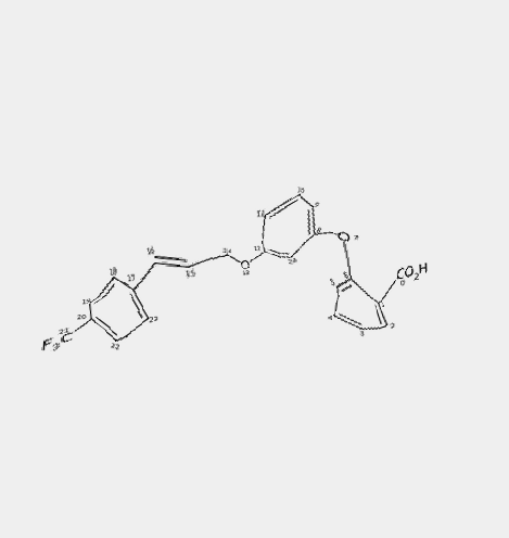 O=C(O)c1ccccc1Oc1cccc(OCC=Cc2ccc(C(F)(F)F)cc2)c1